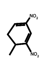 CC1CC=C([N+](=O)[O-])C=C1[N+](=O)[O-]